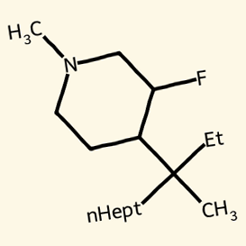 CCCCCCCC(C)(CC)C1CCN(C)CC1F